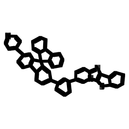 c1cc(-c2ccc3c(c2)C2(c4ccccc4-c4ccccc42)c2cc(-c4ccncc4)ccc2-3)cc(-c2ccc3nc4c5ccccc5sc4n3c2)c1